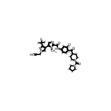 C#CCn1cc(-c2cnc(C(=O)Nc3ccc(C(=O)C4CCN(C(=O)N5CCCC5)CC4)c(Cl)c3)n2C)c(C(F)(F)F)n1